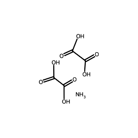 N.O=C(O)C(=O)O.O=C(O)C(=O)O